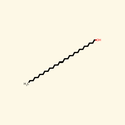 CCCCCCCCCCCCCC=CCCCCCCCCCCCCCO